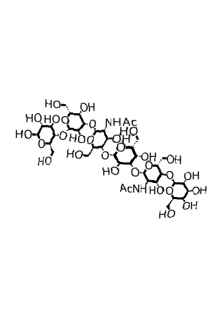 CC(=O)N[C@H]1[C@H](O[C@H]2[C@@H](O)[C@@H](CO)O[C@@H](O[C@H]3[C@H](O)[C@@H](NC(C)=O)[C@H](O[C@H]4[C@@H](O)[C@@H](CO)O[C@@H](O[C@H]5[C@H](O)[C@@H](O)[C@H](O)O[C@@H]5CO)[C@@H]4O)O[C@@H]3CO)[C@@H]2O)O[C@H](CO)[C@@H](O[C@@H]2O[C@H](CO)[C@H](O)[C@H](O)[C@H]2O)[C@@H]1O